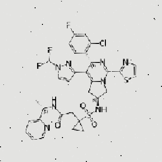 C[C@H](NC(=O)CC1(S(=O)(=O)N[C@H]2CC3=C(c4ccn(C(F)F)n4)[C@H](c4ccc(F)cc4Cl)N=C(c4nccs4)N3C2)CC1)c1ccccn1